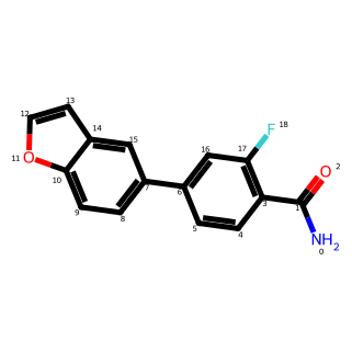 NC(=O)c1ccc(-c2ccc3occc3c2)cc1F